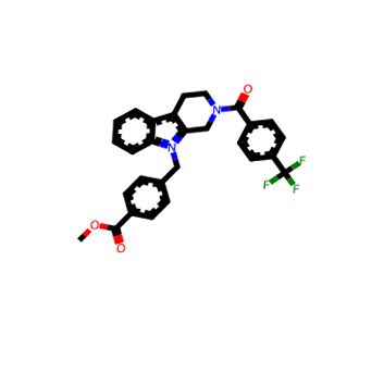 COC(=O)c1ccc(Cn2c3c(c4ccccc42)CCN(C(=O)c2ccc(C(F)(F)F)cc2)C3)cc1